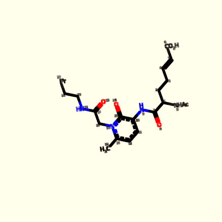 CC(=O)NC(CCC=CC(=O)O)C(=O)Nc1ccc(C)n(CC(=O)NCCC(C)C)c1=O